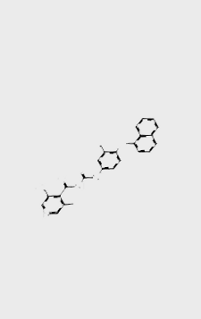 O=C(NC(=O)c1c(Cl)cncc1Cl)Nc1ccc(Oc2cccc3ccccc23)c(Cl)c1